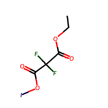 CCOC(=O)C(F)(F)C(=O)OI